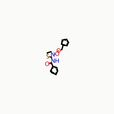 O=C(NC1SCCN1OOCc1ccccc1)c1ccccc1